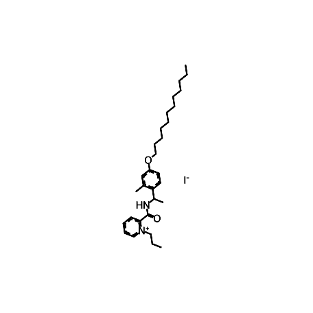 CCCCCCCCCCCCOc1ccc(C(C)NC(=O)c2cccc[n+]2CCC)c(C)c1.[I-]